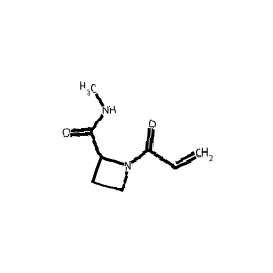 C=CC(=O)N1CCC1C(=O)NC